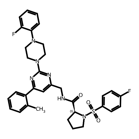 Cc1ccccc1-c1cc(CNC(=O)[C@@H]2CCCN2S(=O)(=O)c2ccc(F)cc2)nc(N2CCN(c3ccccc3F)CC2)n1